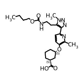 CCCCOC(=O)NCCc1c(-c2ccc(O[C@H]3CCC[C@H](C(=O)O)C3)c(C)n2)nnn1C